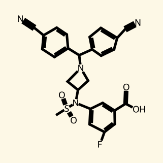 CS(=O)(=O)N(c1cc(F)cc(C(=O)O)c1)C1CN(C(c2ccc(C#N)cc2)c2ccc(C#N)cc2)C1